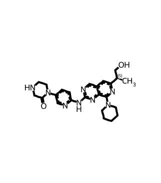 C[C@H](CO)c1cc2cnc(Nc3ccc(N4CCNCC4=O)cn3)nc2c(N2CCCCC2)n1